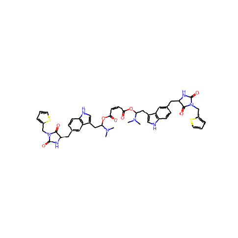 CN(C)C(Cc1c[nH]c2ccc(CC3NC(=O)N(Cc4cccs4)C3=O)cc12)OC(=O)/C=C\C(=O)OC(Cc1c[nH]c2ccc(CC3NC(=O)N(Cc4cccs4)C3=O)cc12)N(C)C